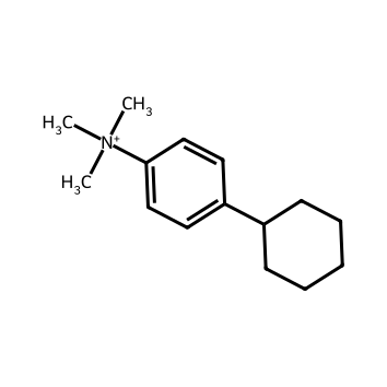 C[N+](C)(C)c1ccc(C2CCCCC2)cc1